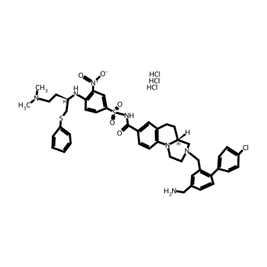 CN(C)CC[C@H](CSc1ccccc1)Nc1ccc(S(=O)(=O)NC(=O)c2ccc3c(c2)CC[C@@H]2CN(Cc4cc(CN)ccc4-c4ccc(Cl)cc4)CCN32)cc1[N+](=O)[O-].Cl.Cl.Cl